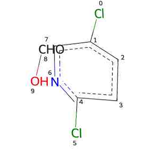 Clc1ccc(Cl)nc1.O=CO